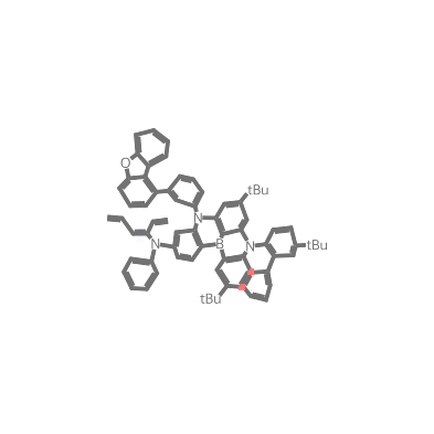 C=C/C=C(\C=C)N(c1ccccc1)c1ccc2c(c1)N(c1cccc(-c3cccc4oc5ccccc5c34)c1)c1cc(C(C)(C)C)cc3c1B2c1cc(C(C)(C)C)ccc1N3c1ccc(C(C)(C)C)cc1-c1ccccc1